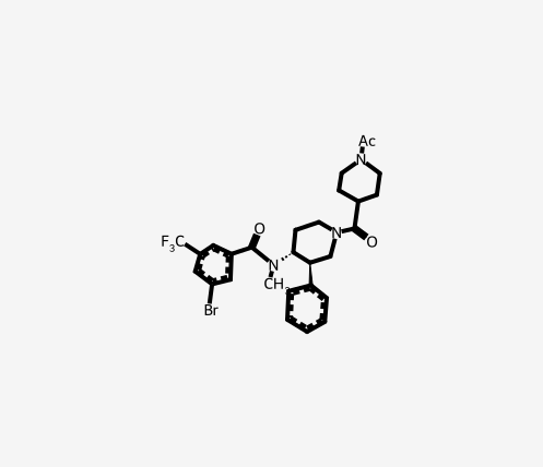 CC(=O)N1CCC(C(=O)N2CC[C@@H](N(C)C(=O)c3cc(Br)cc(C(F)(F)F)c3)[C@H](c3ccccc3)C2)CC1